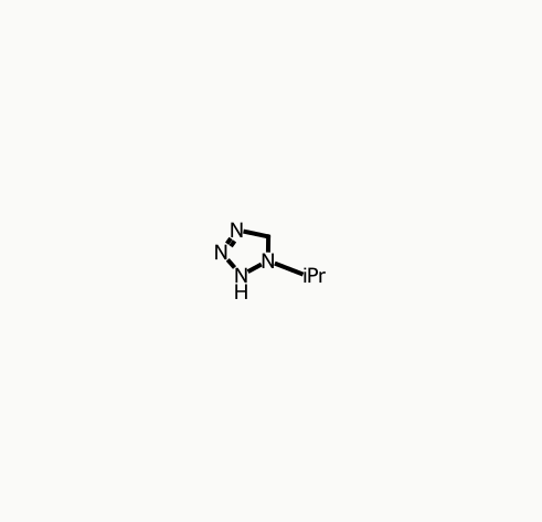 CC(C)N1CN=NN1